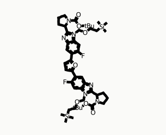 CC(C)(C)OC(=O)N1CCCC1c1nc2cc(-c3ccc(-c4cc5nc(C6CCCN6C(=O)OC(C)(C)C)n(COCC[Si](C)(C)C)c5cc4F)o3)c(F)cc2n1COCC[Si](C)(C)C